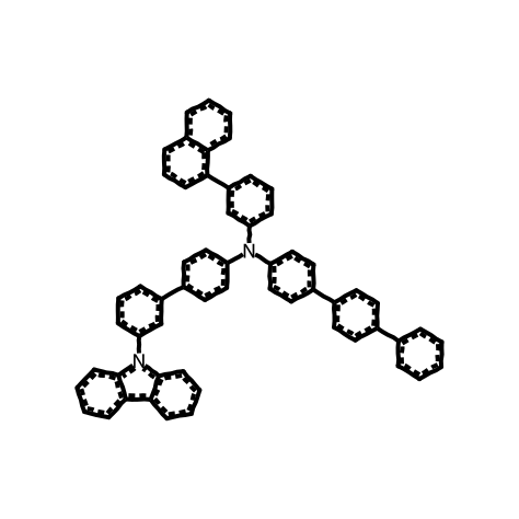 c1ccc(-c2ccc(-c3ccc(N(c4ccc(-c5cccc(-n6c7ccccc7c7ccccc76)c5)cc4)c4cccc(-c5cccc6ccccc56)c4)cc3)cc2)cc1